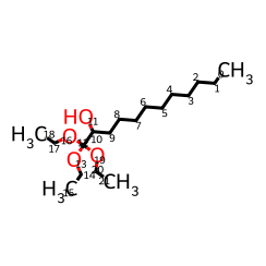 CCCCCCCCCCC(O)C(OCC)(OCC)OCC